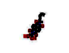 CC(C)CCCC(C)N1C(=O)c2ccc3c4c(ccc(c24)C1=O)C(=O)N(C(CO)CO)C3=O